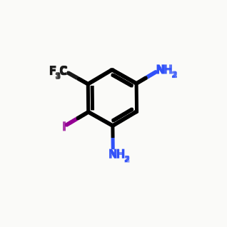 Nc1cc(N)c(I)c(C(F)(F)F)c1